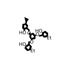 CCc1ccc(O)c(COc2cc(OCc3cc(CC)ccc3O)cc(OCc3cc(C4CC4)ccc3O)c2)c1